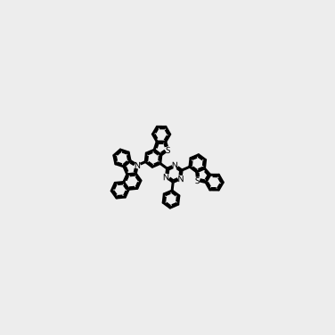 c1ccc(-c2nc(-c3cccc4c3sc3ccccc34)nc(-c3cc(-n4c5ccccc5c5c6ccccc6ccc54)cc4c3sc3ccccc34)n2)cc1